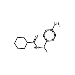 CC(NC(=O)C1CCCCC1)c1ccc(N)cc1